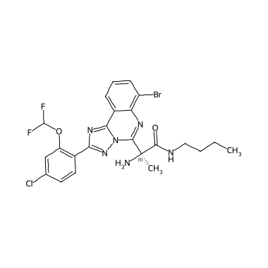 CCCCNC(=O)[C@@](C)(N)c1nc2c(Br)cccc2c2nc(-c3ccc(Cl)cc3OC(F)F)nn12